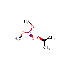 CC(C)=O.CO[PH](=O)OC